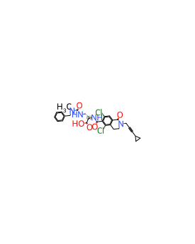 CN(Cc1ccccc1)C(=O)NC[C@H](NC(=O)c1c(Cl)cc2c(c1Cl)CCN(CC#CC1CC1)C2=O)C(=O)O